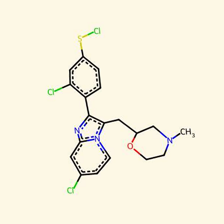 CN1CCOC(Cc2c(-c3ccc(SCl)cc3Cl)nc3cc(Cl)ccn23)C1